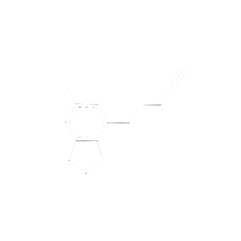 C#CCOCc1cc(CCCC)cc2c1OCC2